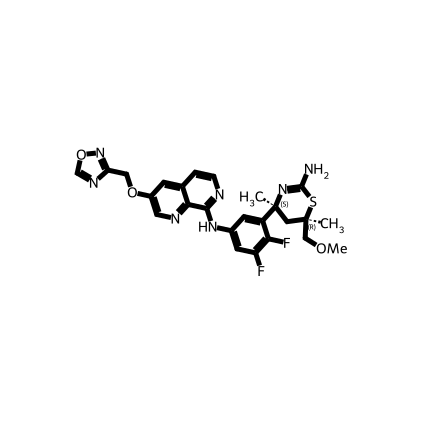 COC[C@@]1(C)C[C@@](C)(c2cc(Nc3nccc4cc(OCc5ncon5)cnc34)cc(F)c2F)N=C(N)S1